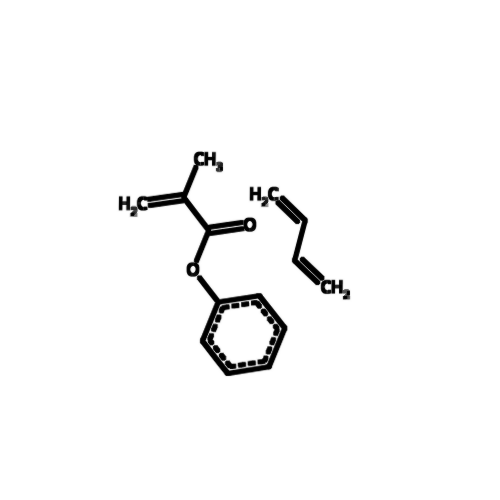 C=C(C)C(=O)Oc1ccccc1.C=CC=C